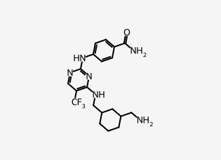 NCC1CCCC(CNc2nc(Nc3ccc(C(N)=O)cc3)ncc2C(F)(F)F)C1